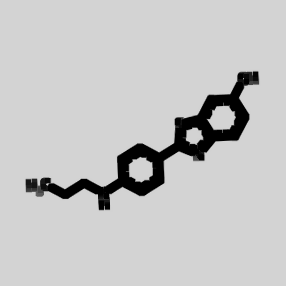 CCCNc1ccc(-c2nc3ccc(O)cc3s2)cc1